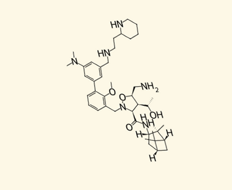 COc1c(CN2O[C@@H](CN)[C@@H]([C@H](C)O)[C@H]2C(=O)N[C@H]2C[C@H]3C[C@@H]([C@@H]2C)C3(C)C)cccc1-c1cc(CNCCC2CCCCN2)cc(N(C)C)c1